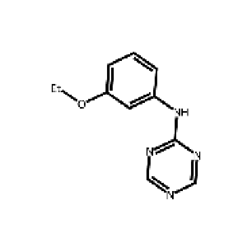 CCOc1cccc(Nc2ncncn2)c1